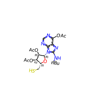 CCCCNc1nc2c(OC(C)=O)ncnc2n1[C@@H]1O[C@H](CS)[C@@H](OC(C)=O)[C@H]1OC(C)=O